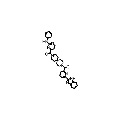 O=C(c1cccc(-c2nc3ccccc3[nH]2)n1)N1CCC2(CC1)CCN(C(=O)c1ccnc(Nc3ccccc3)n1)CC2